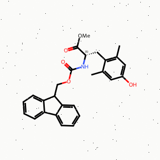 COC(=O)[C@H](Cc1c(C)cc(O)cc1C)NC(=O)OCC1c2ccccc2-c2ccccc21